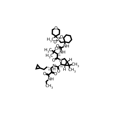 CCNC(=O)C(=O)[C@H](CCC1CC1)NC(=O)[C@@H]1[C@@H]2[C@H](CN1C(=O)[C@@H](NC(=O)NC1(CS(=O)(=O)C3(C)CCOCC3)CCCCC1)C(C)(C)C)C2(C)C